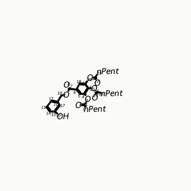 CCCCCC(=O)Oc1cc(C(=O)OCc2cccc(O)c2)cc(OC(=O)CCCCC)c1OC(=O)CCCCC